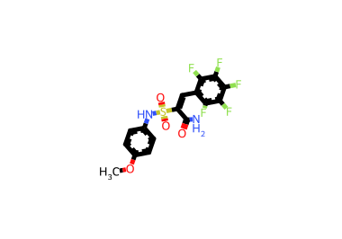 COc1ccc(NS(=O)(=O)/C(=C/c2c(F)c(F)c(F)c(F)c2F)C(N)=O)cc1